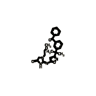 COCCN1CC(=O)NC1=Nc1cc(C(C)(C)c2cccc(C(=O)c3ccccc3)c2)no1